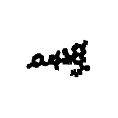 Cc1cccc(Cn2nc(C)c(NC(=O)c3cc(C(N)=O)nc4cc(F)ccc34)c2C)c1